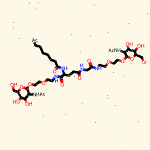 CC(=O)CCCCCCC(=O)NC(CCC(=O)NCC(=O)NCCOCCOC1OC(CO)C(O)C(O)C1NC(C)=O)C(=O)NCCOCCOC1OC(CO)C(O)C(O)C1NC(C)=O